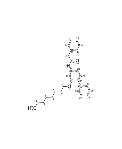 CCCCCCCCOc1cc(=NC(=O)Cc2ccccc2)cnn1-c1ccccc1